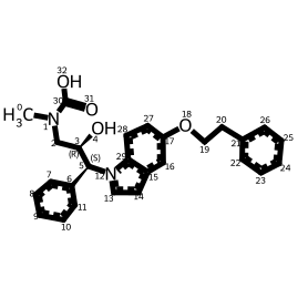 CN(C[C@@H](O)[C@H](c1ccccc1)n1ccc2cc(OCCc3ccccc3)ccc21)C(=O)O